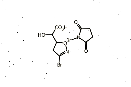 O=C(O)C(O)C1CC(Br)=NO1.O=C1CCC(=O)N1Br